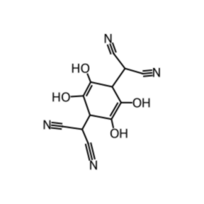 N#CC(C#N)C1C(O)=C(O)C(C(C#N)C#N)C(O)=C1O